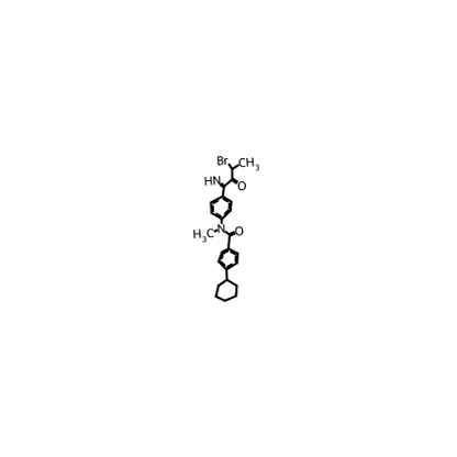 CC(Br)C(=O)C(=N)c1ccc(N(C)C(=O)c2ccc(C3CCCCC3)cc2)cc1